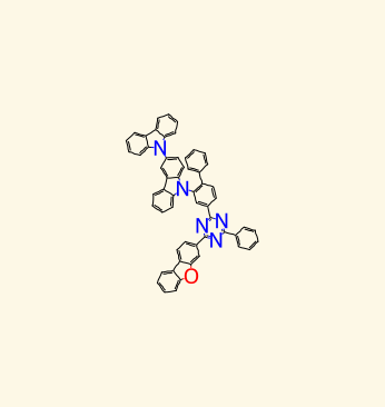 c1ccc(-c2nc(-c3ccc(-c4ccccc4)c(-n4c5ccccc5c5cc(-n6c7ccccc7c7ccccc76)ccc54)c3)nc(-c3ccc4c(c3)oc3ccccc34)n2)cc1